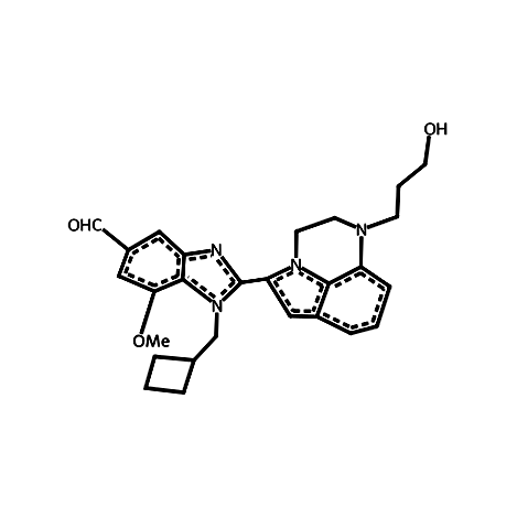 COc1cc(C=O)cc2nc(-c3cc4cccc5c4n3CCN5CCCO)n(CC3CCC3)c12